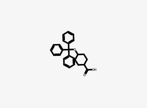 O=C(O)C1CCC(OC(c2ccccc2)(c2ccccc2)c2ccccc2)CC1